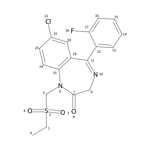 CCS(=O)(=O)CN1C(=O)CN=C(c2ccccc2F)c2cc(Cl)ccc21